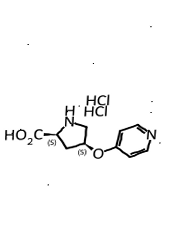 Cl.Cl.O=C(O)[C@@H]1C[C@H](Oc2ccncc2)CN1